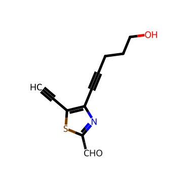 C#Cc1sc(C=O)nc1C#CCCCO